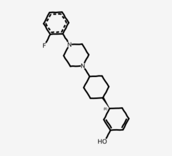 OC1=C[C@@H](C2CCC(N3CCN(c4ccccc4F)CC3)CC2)CC=C1